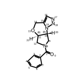 O=C(c1ccccc1)N1C[C@@H]2[C@@H](C1)OCc1cnnn12